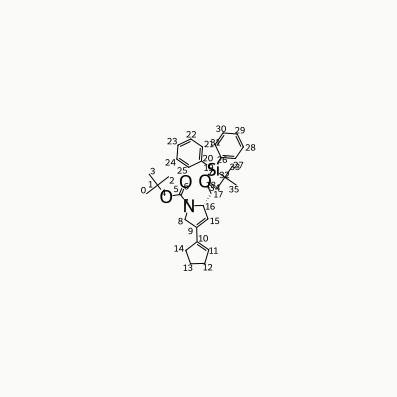 CC(C)(C)OC(=O)N1CC(C2=CCCC2)=C[C@H]1CO[Si](c1ccccc1)(c1ccccc1)C(C)(C)C